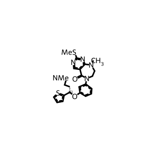 CNCC[C@H](Oc1cccc(N2CCN(C)c3nc(SC)ncc3C2=O)c1)c1cccs1